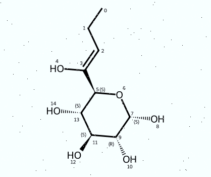 CCC=C(O)[C@H]1O[C@H](O)[C@H](O)[C@@H](O)[C@@H]1O